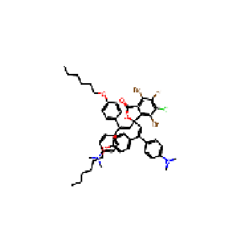 CCCCCCOc1ccc(C(=CC2(C=C(c3ccc(OCCCCCC)cc3)c3ccc(N(C)C)cc3)OC(=O)c3c(Br)c(Br)c(Cl)c(Br)c32)c2ccc(N(C)C)cc2)cc1